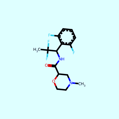 CN1CCOC(C(=O)NC(c2c(F)cccc2F)C(C)(F)F)C1